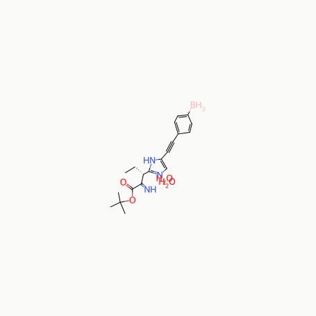 Bc1ccc(C#Cc2cnc([C@@H](CC)C(=N)C(=O)OC(C)(C)C)[nH]2)cc1.O.O